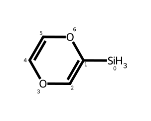 [SiH3]C1=COC=CO1